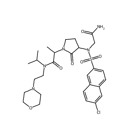 CC(C)N(CCN1CCOCC1)C(=O)C(C)N1CCC(N(CC(N)=O)S(=O)(=O)c2ccc3cc(Cl)ccc3c2)C1=O